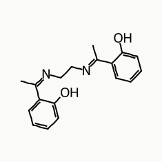 CC(=NCCN=C(C)c1ccccc1O)c1ccccc1O